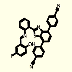 N#Cc1ccc(-c2ccc(-c3ccc(C#N)cc3)c3sc(-c4ccccc4/N=C/c4cc(I)ccc4O)nc23)cc1